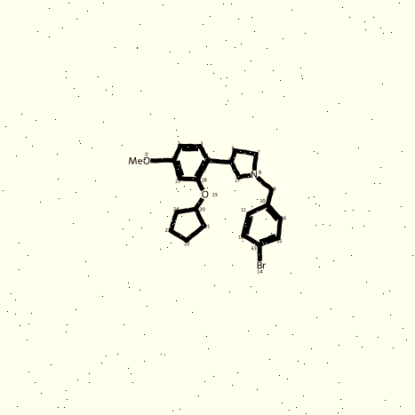 COc1ccc(C2CCN(Cc3ccc(Br)cc3)C2)c(OC2CCCC2)c1